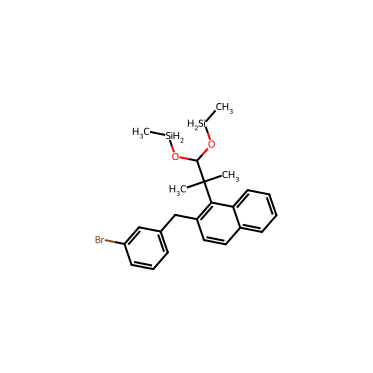 C[SiH2]OC(O[SiH2]C)C(C)(C)c1c(Cc2cccc(Br)c2)ccc2ccccc12